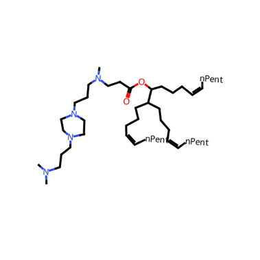 CCCCC/C=C\CCCC(CCC/C=C\CCCCC)C(CCC/C=C\CCCCC)OC(=O)CCN(C)CCCN1CCN(CCCN(C)C)CC1